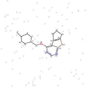 CC1CCC(COc2ncnc3sc4c(c23)CCC4)CC1